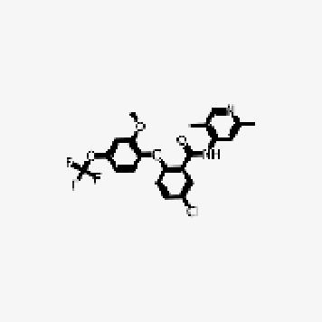 COc1cc(OC(F)(F)F)ccc1Oc1ccc(Cl)cc1C(=O)Nc1cc(C)ncc1C